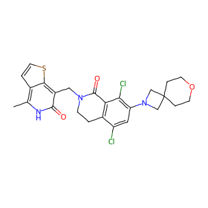 Cc1[nH]c(=O)c(CN2CCc3c(Cl)cc(N4CC5(CCOCC5)C4)c(Cl)c3C2=O)c2sccc12